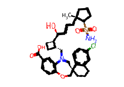 C[C@@]1(C/C=C/[C@H](O)[C@@H]2CC[C@H]2CN2C[C@@]3(CCCc4cc(Cl)ccc43)COc3ccc(C(=O)O)cc32)CCC[C@H]1S(N)(=O)=O